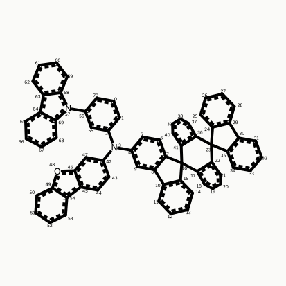 c1cc(N(c2ccc3c(c2)-c2ccccc2C32c3ccccc3C3(c4ccccc4-c4ccccc43)c3ccccc32)c2ccc3c(c2)oc2ccccc23)cc(-n2c3ccccc3c3ccccc32)c1